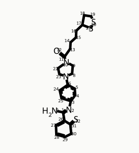 NC(=Nc1ccc(N2CCN(C(=O)CCCCC3CCSS3)CC2)cc1)C1=CC=CCC1=S